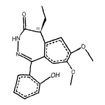 CC[C@@H]1C(=O)NN=C(c2ccccc2O)c2cc(OC)c(OC)cc21